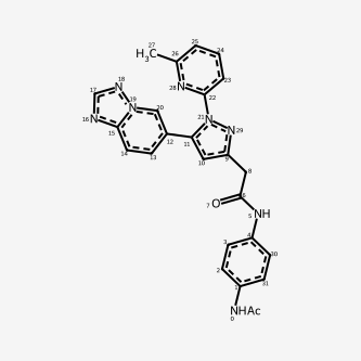 CC(=O)Nc1ccc(NC(=O)Cc2cc(-c3ccc4ncnn4c3)n(-c3cccc(C)n3)n2)cc1